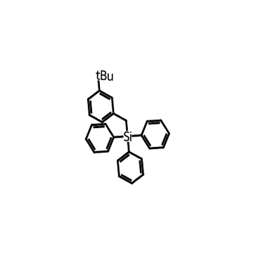 CC(C)(C)c1cccc(C[Si](c2ccccc2)(c2ccccc2)c2ccccc2)c1